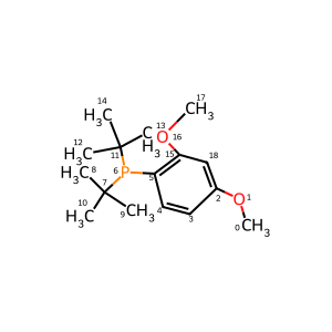 COc1ccc(P(C(C)(C)C)C(C)(C)C)c(OC)c1